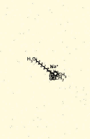 CCCCCCCCCCCCCc1ccc(C)c(C)c1S(=O)(=O)[O-].[Na+]